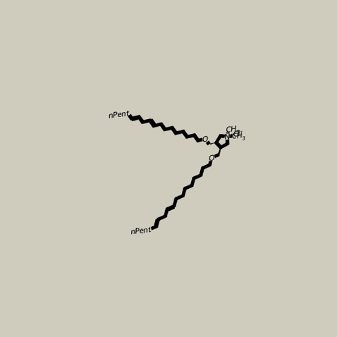 CCCCCC=CCC=CCCCCCCCCOC[C@@H]1C[N+](C)(C)C[C@H]1COCCCCCCCCC=CCC=CCCCCC.[Cl-]